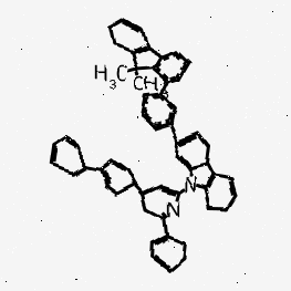 CC1(C)C2=C(C=CCC2)c2cccc(-c3cccc(C4=CCC5C(=C4)N(C4=CC(C6C=CC(C7C=CC=CC7)=CC6)CC(C6=CC=CCC6)=N4)C4=C5C=CCC4)c3)c21